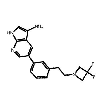 Nc1c[nH]c2ncc(-c3cccc(CCN4CC(F)(F)C4)c3)cc12